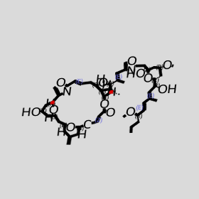 C=C1C[C@@H]2C[C@@H]3C[C@@H](O)C[C@@H](O3)c3coc(n3)/C=C/C[C@H]3O[C@@H](/C(C)=C/c4coc(C[C@]5(O)C[C@H](OC)C[C@H]([C@H](O)/C=C(C)/C=C/[C@@H](CCC)OC)O5)n4)[C@H](C)[C@@H](OC(=O)/C=C\C[C@@H](C1)O2)[C@H]3C